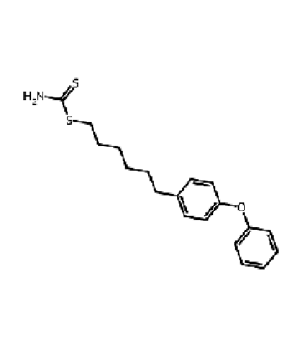 NC(=S)SCCCCCCc1ccc(Oc2ccccc2)cc1